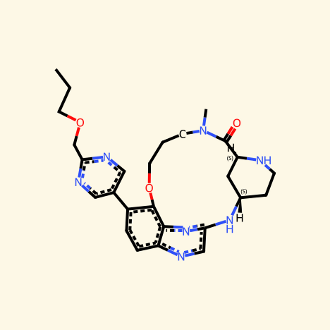 CCCOCc1ncc(-c2ccc3ncc4nc3c2OCCCN(C)C(=O)[C@@H]2C[C@H](CCN2)N4)cn1